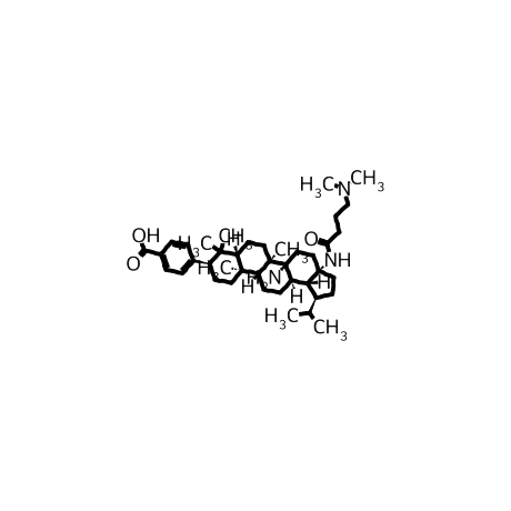 CC(C)[C@@H]1CC[C@]2(NC(=O)CCCN(C)C)CC[C@]3(N)[C@H](CC[C@@H]4[C@@]5(C)CC[C@@H](c6ccc(C(=O)O)cc6)C(C)(C)[C@@H]5CC[C@]43C)[C@@H]12